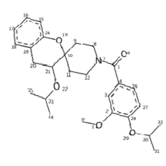 COc1cc(C(=O)N2CCC3(CC2)Oc2ccccc2CC3OC(C)C)ccc1OC(C)C